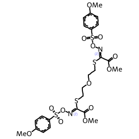 COC(=O)/C(=N/OS(=O)(=O)c1ccc(OC)cc1)SCCOCCS/C(=N\OS(=O)(=O)c1ccc(OC)cc1)C(=O)OC